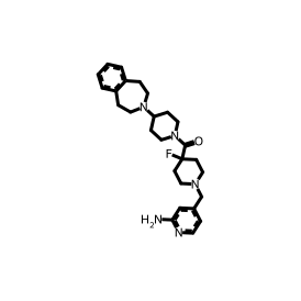 Nc1cc(CN2CCC(F)(C(=O)N3CCC(N4CCc5ccccc5CC4)CC3)CC2)ccn1